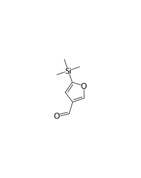 C[Si](C)(C)c1cc(C=O)co1